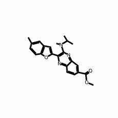 COC(=O)c1ccc2nc(-c3cc4cc(C)ccc4o3)c(N(C)C(C)C)nc2c1